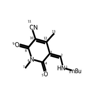 CCCCNC=C1C(=O)N(C)C(=O)C(C#N)=C1C